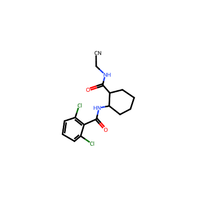 N#CCNC(=O)C1CCCCC1NC(=O)c1c(Cl)cccc1Cl